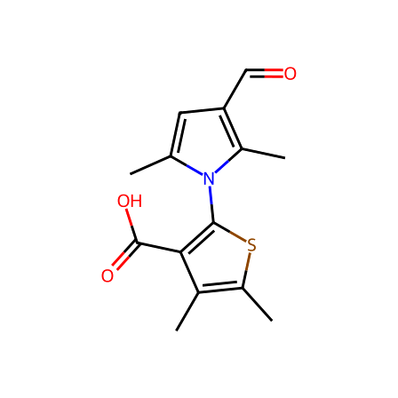 Cc1sc(-n2c(C)cc(C=O)c2C)c(C(=O)O)c1C